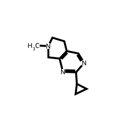 CN1CCc2cnc(C3CC3)nc2C1